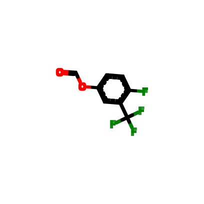 O=COc1ccc(F)c(C(F)(F)F)c1